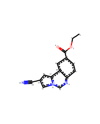 CCOC(=O)c1ccc2ncn3cc(C#N)cc3c2c1